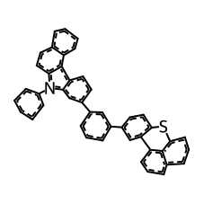 c1ccc(-n2c3cc(-c4cccc(-c5ccc6c(c5)-c5cccc7cccc(c57)S6)c4)ccc3c3c4ccccc4ccc32)cc1